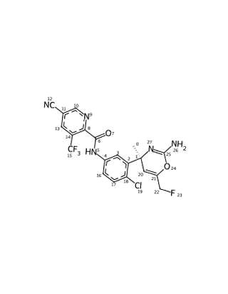 C[C@@]1(c2cc(NC(=O)c3ncc(C#N)cc3C(F)(F)F)ccc2Cl)C=C(CF)OC(N)=N1